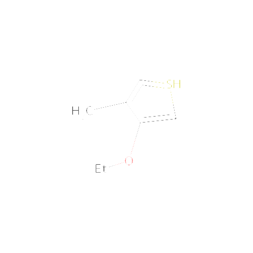 CCOC1=C[SH]=C=C1C